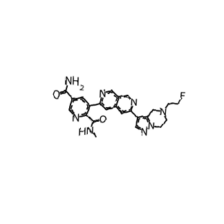 CNC(=O)c1ncc(C(N)=O)cc1-c1cc2cc(-c3cnn4c3CN(CCF)CC4)ncc2cn1